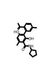 C=C(C)c1ccc(C)cc1-c1c(O)cc(C)c(C(=O)NC2CCCC2)c1O